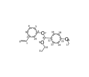 C=Cc1cccc(OC(OCC)c2ccc(OC)cc2)c1